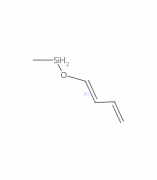 C=C/C=C/O[SiH2]C